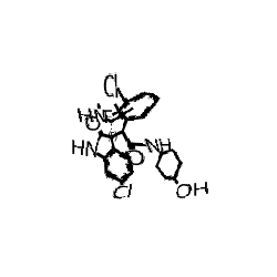 CNC(C(C)(C)C)[C@@]1(C(C(=O)NC2CCC(O)CC2)c2cccc(Cl)c2F)C(=O)Nc2cc(Cl)ccc21